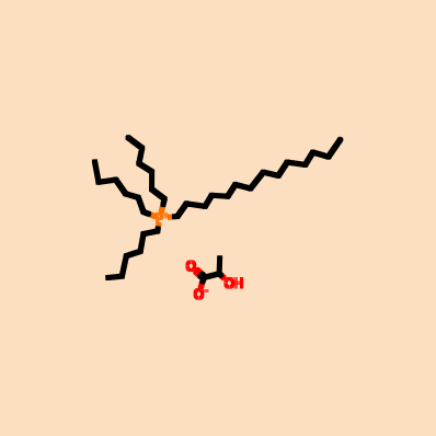 CC(O)C(=O)[O-].CCCCCCCCCCCCCC[P+](CCCCCC)(CCCCCC)CCCCCC